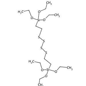 CCO[Si](CCSSSSCC[Si](OCC)(OCC)OCC)(OCC)OCC